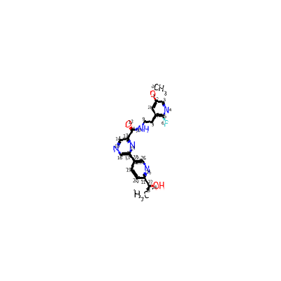 COc1cnc(F)c(CCNC(=O)c2cncc(-c3ccc(C(C)O)nc3)n2)c1